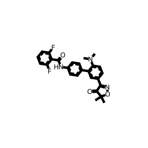 CN(C)c1ccc(C2=NOC(C)(C)C2=O)cc1-c1ccc(NC(=O)c2c(F)cccc2F)cc1